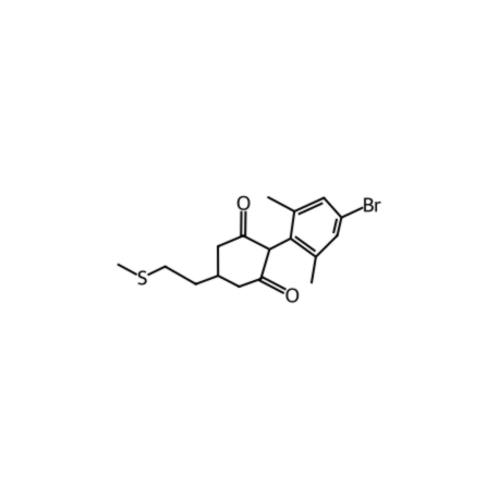 CSCCC1CC(=O)C(c2c(C)cc(Br)cc2C)C(=O)C1